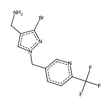 NCc1cn(Cc2ccc(C(F)(F)F)nc2)nc1Br